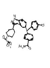 NC(=O)c1ccc(C(c2ccc(Cl)cc2)c2ccc3[nH]nc(C4CCN(S(=O)(=O)C(F)(F)F)CC4)c3c2)cc1